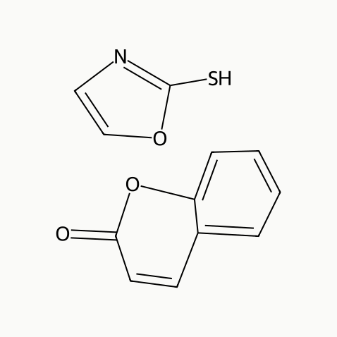 O=c1ccc2ccccc2o1.Sc1ncco1